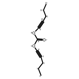 CCCC#COC(=O)OC#CCCC